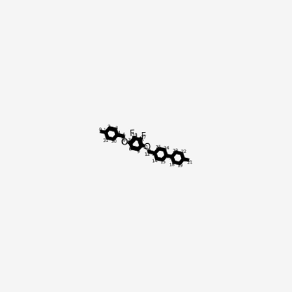 CC1C=CC(COc2ccc(OCC3CCC(C4CCC(C)CC4)CC3)c(F)c2F)CC1